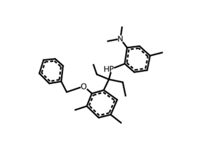 CCC(CC)(Pc1ccc(C)cc1N(C)C)c1cc(C)cc(C)c1OCc1ccccc1